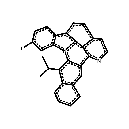 CC(C)c1c2ccccc2cc2c3nccc4ccc5c6ccc(F)cc6n(c12)c5c43